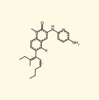 CCC/C=C\C(=C(/C)CC)c1ccc2c(cc(Nc3ccc(N)cn3)c(=O)n2C)c1F